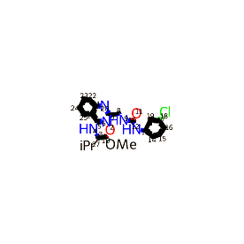 COC(=O)[C@@H](Nc1nc(CNC(=O)Nc2cccc(Cl)c2)nc2ccccc12)C(C)C